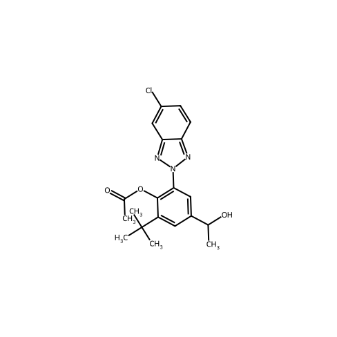 CC(=O)Oc1c(-n2nc3ccc(Cl)cc3n2)cc(C(C)O)cc1C(C)(C)C